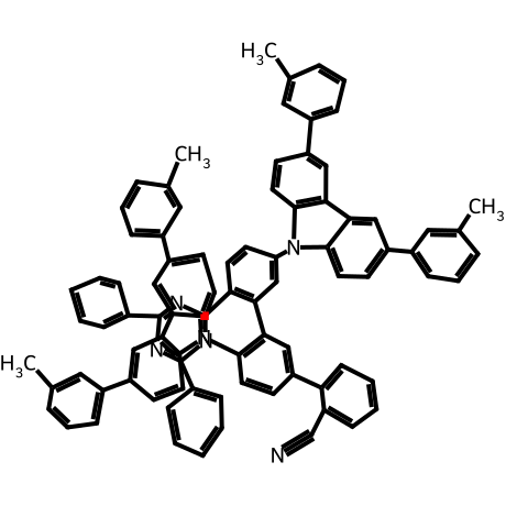 Cc1cccc(-c2ccc3c(c2)c2cc(-c4cccc(C)c4)ccc2n3-c2ccc(-c3nc(-c4ccccc4)nc(-c4ccccc4)n3)c(-c3cc(-c4ccccc4C#N)ccc3-n3c4ccc(-c5cccc(C)c5)cc4c4cc(-c5cccc(C)c5)ccc43)c2)c1